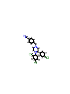 N#Cc1ccc(CN2CCN(c3ccc(Cl)cc3Cl)[C@@H](c3ccc(Cl)cc3)C2)cc1